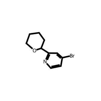 Brc1ccnc(C2CCCCO2)c1